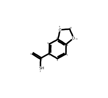 C=C(S)c1ccc2c(c1)OCO2